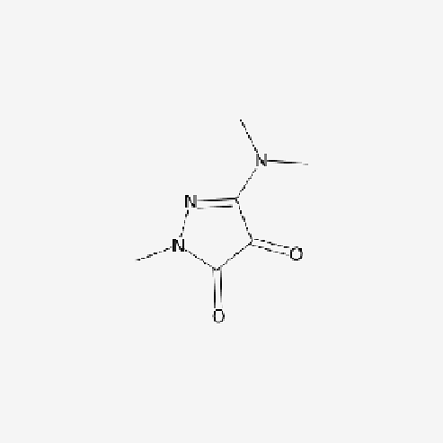 CN(C)C1=NN(C)C(=O)C1=O